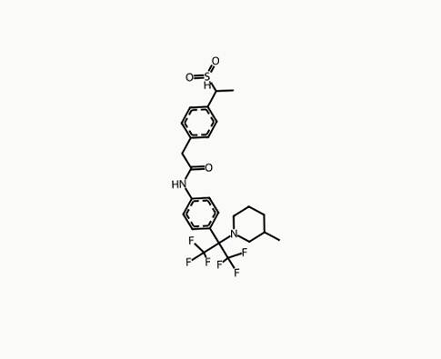 CC1CCCN(C(c2ccc(NC(=O)Cc3ccc(C(C)[SH](=O)=O)cc3)cc2)(C(F)(F)F)C(F)(F)F)C1